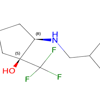 CC(C)CN[C@@H]1CCC[C@@]1(O)C(F)(F)F